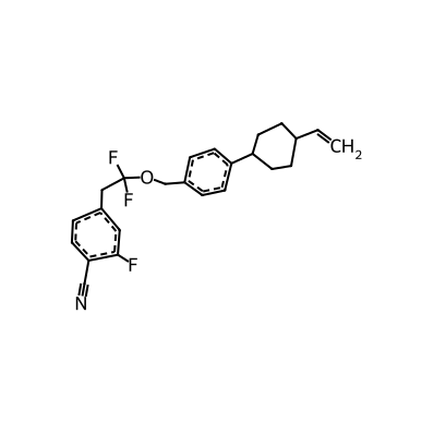 C=CC1CCC(c2ccc(COC(F)(F)Cc3ccc(C#N)c(F)c3)cc2)CC1